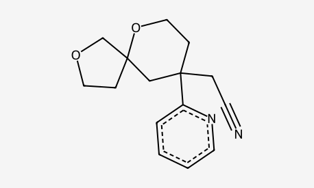 N#CCC1(c2ccccn2)CCOC2(CCOC2)C1